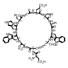 CC(C)C[C@@H]1NC(=O)[C@H](Cc2c[nH]cn2)NC(=O)[C@H](Cc2c[nH]c3ccccc23)NC(=O)[C@H](C)NC(=O)[C@@H](NC(=O)[C@@H](N)CC(=O)O)CSSC[C@@H](C=O)NC(=O)[C@H](Cc2c[nH]c3ccccc23)NC(=O)[C@H](C(C)C)NC(=O)[C@H](CC(C)C)NC(=O)[C@H](CCC(=O)O)NC(=O)CNC1=O